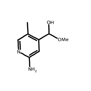 COC(O)c1cc(N)ncc1C